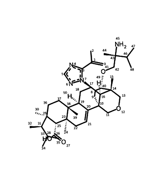 C=C(C)c1ncnn1[C@@H]1C[C@@]23COC[C@](C)([C@@H]2CC[C@H]2C3=CC[C@@]3(C)[C@H](C(=O)O)[C@@](C)([C@H](C)C(C)C)CC[C@]23C)[C@H]1OC[C@](C)(N)C(C)C